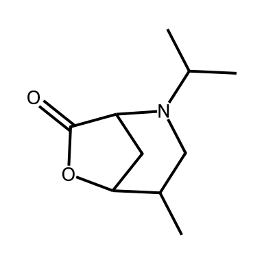 CC1CN(C(C)C)C2CC1OC2=O